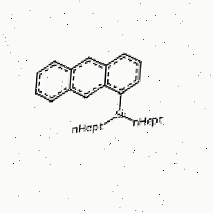 CCCCCCC[Si](CCCCCCC)c1cccc2cc3ccccc3cc12